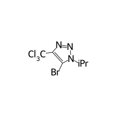 CC(C)n1nnc(C(Cl)(Cl)Cl)c1Br